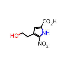 O=C(O)c1cc(CCO)c([N+](=O)[O-])[nH]1